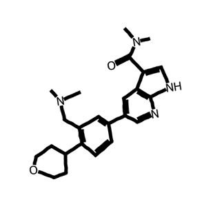 CN(C)Cc1cc(-c2cnc3[nH]cc(C(=O)N(C)C)c3c2)ccc1C1CCOCC1